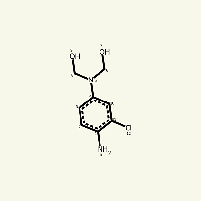 Nc1ccc(N(CO)CO)cc1Cl